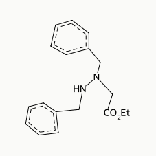 CCOC(=O)CN(Cc1ccccc1)NCc1ccccc1